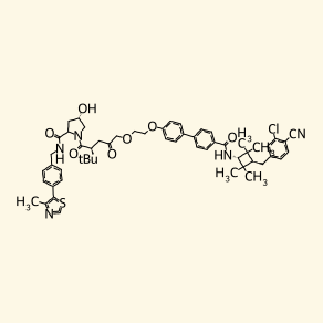 Cc1ncsc1-c1ccc(CNC(=O)C2C[C@H](O)CN2C(=O)[C@@H](CC(=O)COCCOc2ccc(-c3ccc(C(=O)N[C@H]4C(C)(C)[C@H](Cc5ccc(C#N)c(Cl)c5)C4(C)C)cc3)cc2)C(C)(C)C)cc1